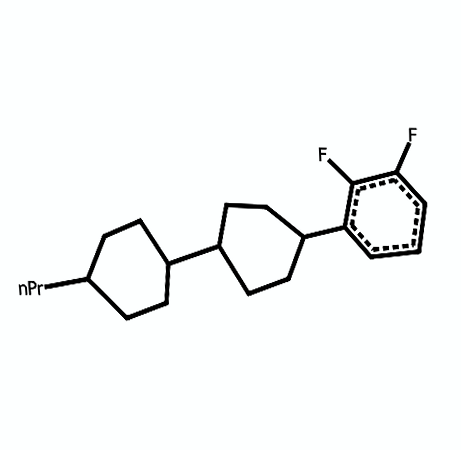 CCCC1CCC(C2CCC(c3cccc(F)c3F)CC2)CC1